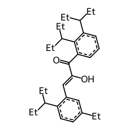 CCc1ccc(C(CC)CC)c(C=C(O)C(=O)c2cccc(C(CC)CC)c2C(CC)CC)c1